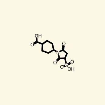 O=C(O)C1CCC(N2C(=O)CC(S(=O)(=O)O)C2=O)CC1